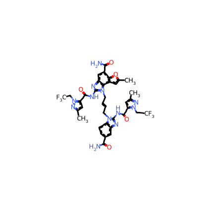 Cc1cc(C(=O)Nc2nc3cc(C(N)=O)ccc3n2C/C=C/Cn2c(NC(=O)c3cc(C)nn3CC(F)(F)F)nc3cc(C(N)=O)c4oc(C)cc4c32)n(CC(F)(F)F)n1